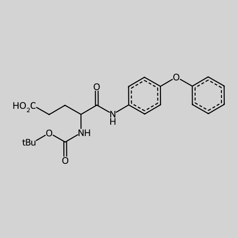 CC(C)(C)OC(=O)NC(CCC(=O)O)C(=O)Nc1ccc(Oc2ccccc2)cc1